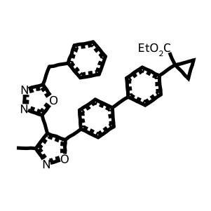 CCOC(=O)C1(c2ccc(-c3ccc(-c4onc(C)c4-c4nnc(Cc5ccccc5)o4)cc3)cc2)CC1